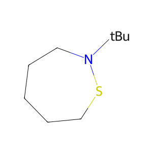 CC(C)(C)N1CCCCCS1